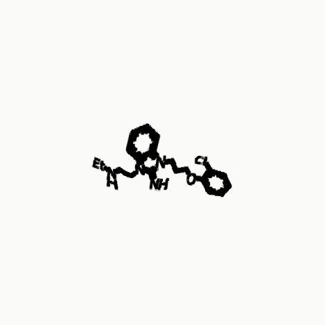 CCNCCn1c(=N)n(CCCOc2ccccc2Cl)c2ccccc21